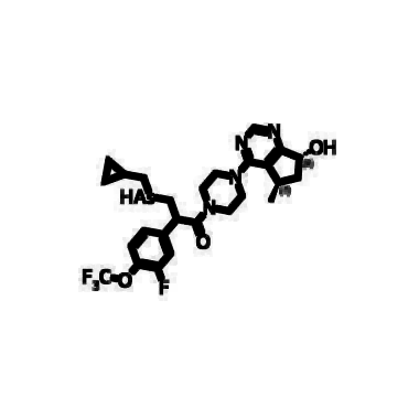 C[C@@H]1C[C@@H](O)c2ncnc(N3CCN(C(=O)C(C[AsH]CC4CC4)c4ccc(OC(F)(F)F)c(F)c4)CC3)c21